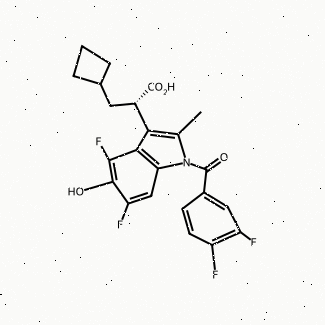 Cc1c([C@H](CC2CCC2)C(=O)O)c2c(F)c(O)c(F)cc2n1C(=O)c1ccc(F)c(F)c1